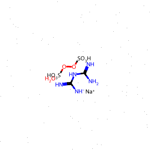 N=C([NH-])NC(=N)N.O.O=S(=O)(O)OOS(=O)(=O)O.[Na+]